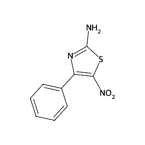 Nc1nc(-c2ccccc2)c([N+](=O)[O-])s1